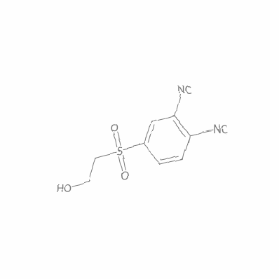 [C-]#[N+]c1ccc(S(=O)(=O)CCO)cc1[N+]#[C-]